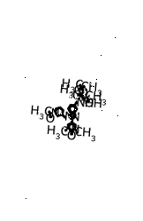 CC(=O)N1CCCC(Cn2c(-c3cc(C)c(=O)n(C)c3)nc3cc(CN[C@H](C(=O)OC(C)(C)C)[C@@H](C)O)ccc32)C1